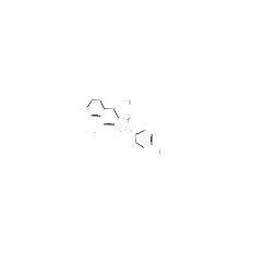 CC(C)Oc1c2c(c(OC(C)C)c3ccccc13)C(=O)N(c1ccc(CC(=O)O)c(F)c1)C2